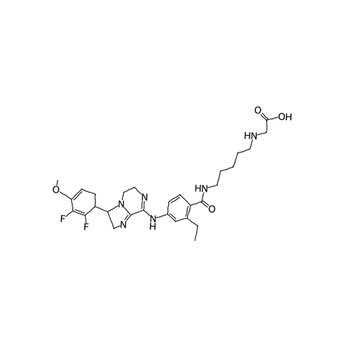 CCc1cc(NC2=NCCN3C2=NCC3C2CC=C(OC)C(F)=C2F)ccc1C(=O)NCCCCCNCC(=O)O